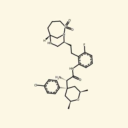 C[C@@H]1C[C@](c2ccc(Cl)cc2)([C@H](N)C(=O)Nc2cccc(F)c2CC[C@H]2CN[C@@H]3CCCS(=O)(=O)N2C3)C[C@H](C)O1